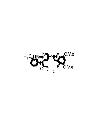 C=CC(=O)Nc1cccc(C)c1Nc1ncc(NCc2c(F)c(OC)cc(OC)c2F)cn1